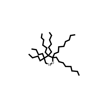 CCCCCCCCC1(CCCCCCCC)O[Te]CC(CCCC)(CCCC)C1(CCCCCC)CCCCCC